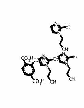 CCc1nccn1CCC#N.CCc1nccn1CCC#N.CCc1nccn1CCC#N.O=C(O)c1ccc(C(=O)O)c(C(=O)O)c1